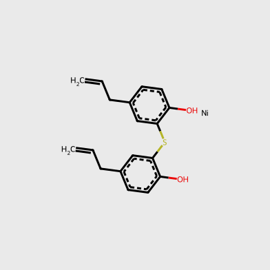 C=CCc1ccc(O)c(Sc2cc(CC=C)ccc2O)c1.[Ni]